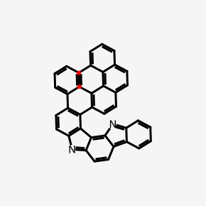 c1ccc(-c2ccc3c(c2-c2ccc4ccc5cccc6ccc2c4c56)-c2c4c(ccc2=N3)=c2ccccc2=N4)cc1